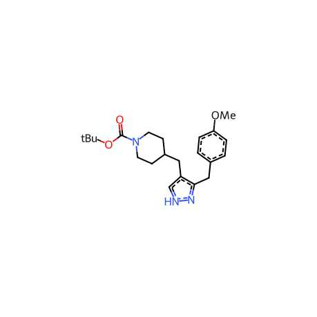 COc1ccc(Cc2n[nH]cc2CC2CCN(C(=O)OC(C)(C)C)CC2)cc1